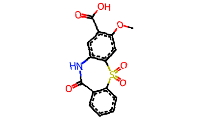 COc1cc2c(cc1C(=O)O)NC(=O)c1ccccc1S2(=O)=O